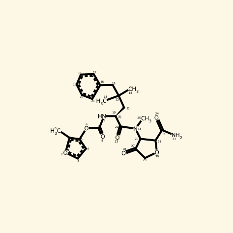 Cc1occc1OC(=O)N[C@@H](CC(C)(C)Cc1ccccc1)C(=O)N(C)C1C(=O)COC1C(N)=O